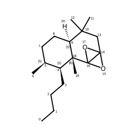 CCCC[C@H]1[C@@H](C)CC[C@H]2C(C)(C)CC34OC3(O4)[C@]12C